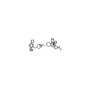 CCS(=O)(=O)N[C@H]1CC[C@H](CCN2CCC(Cc3cc(Cl)ccc3Br)CC2)CC1